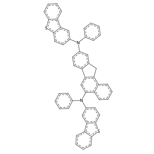 c1ccc(N(c2ccc3c(c2)Cc2c-3cc(N(c3ccccc3)c3ccc4sc5ccccc5c4c3)c3ccccc23)c2ccc3sc4ccccc4c3c2)cc1